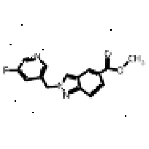 COC(=O)c1ccc2nn(Cc3cncc(F)c3)cc2c1